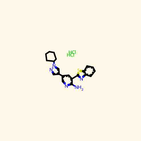 Cl.Cl.Nc1ncc(-c2cnn(C3CCCCC3)c2)cc1-c1nc2ccccc2s1